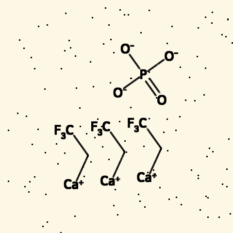 FC(F)(F)[CH2][Ca+].FC(F)(F)[CH2][Ca+].FC(F)(F)[CH2][Ca+].O=P([O-])([O-])[O-]